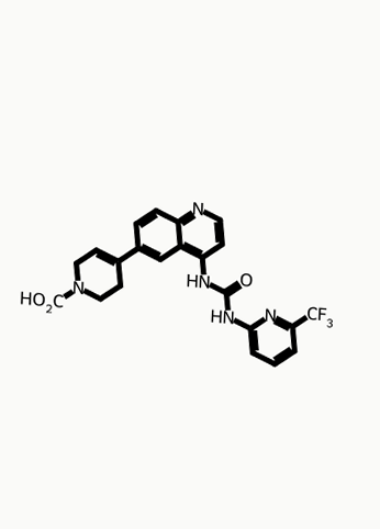 O=C(Nc1cccc(C(F)(F)F)n1)Nc1ccnc2ccc(C3=CCN(C(=O)O)CC3)cc12